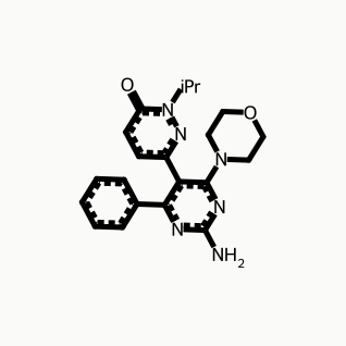 CC(C)n1nc(-c2c(-c3ccccc3)nc(N)nc2N2CCOCC2)ccc1=O